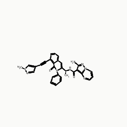 C[C@H](NC(=O)c1c(N)nn2cccnc12)c1cc2cccc(C#Cc3cnn(C)c3)c2c(=S)n1-c1ccccc1